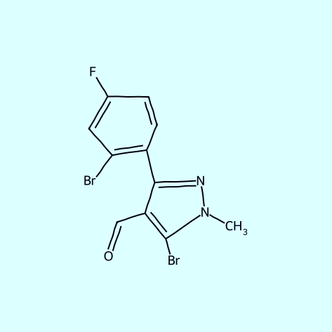 Cn1nc(-c2ccc(F)cc2Br)c(C=O)c1Br